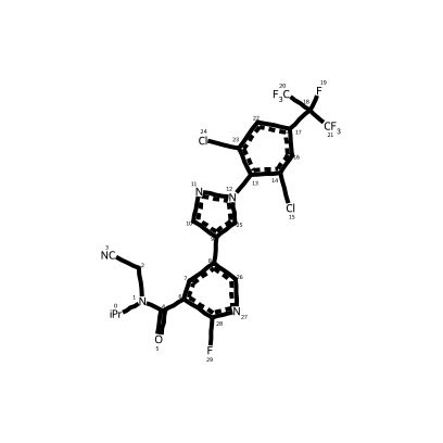 CC(C)N(CC#N)C(=O)c1cc(-c2cnn(-c3c(Cl)cc(C(F)(C(F)(F)F)C(F)(F)F)cc3Cl)c2)cnc1F